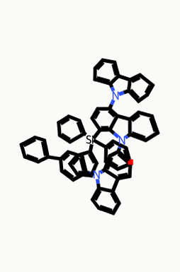 c1ccc(-c2ccc(-n3c4ccccc4c4ccc(-n5c6ccccc6c6c(-n7c8ccccc8c8ccccc87)ccc([Si](c7ccccc7)(c7ccccc7)c7ccccc7)c65)cc43)cc2)cc1